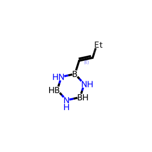 CC/C=C/B1NBNBN1